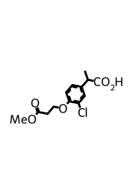 COC(=O)CCOc1ccc(C(C)C(=O)O)cc1Cl